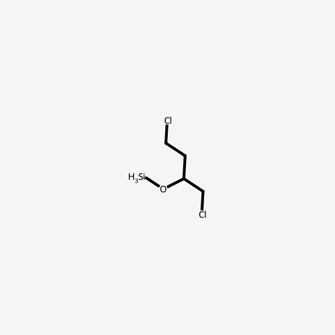 [SiH3]OC(CCl)CCCl